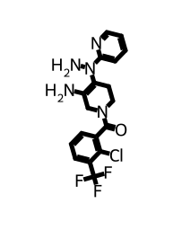 NC1=C(N(N)c2ccccn2)CCN(C(=O)c2cccc(C(F)(F)F)c2Cl)C1